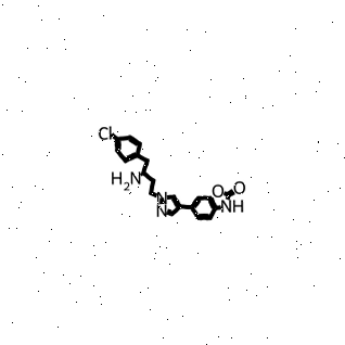 N[C@H](CCn1cc(-c2ccc3[nH]c(=O)oc3c2)cn1)Cc1ccc(Cl)cc1